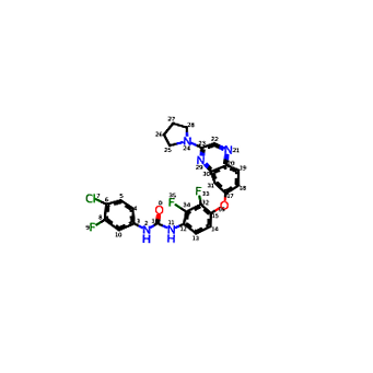 O=C(Nc1ccc(Cl)c(F)c1)Nc1ccc(Oc2ccc3ncc(N4CCCC4)nc3c2)c(F)c1F